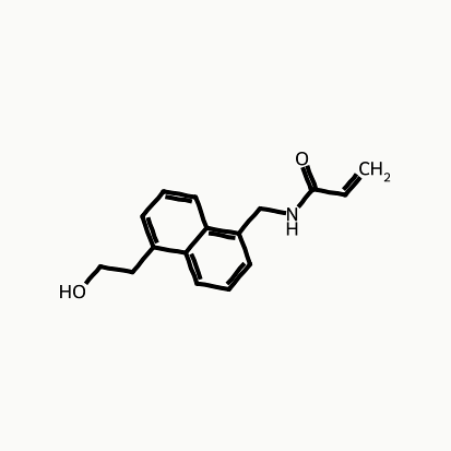 C=CC(=O)NCc1cccc2c(CCO)cccc12